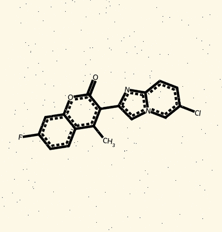 Cc1c(-c2cn3cc(Cl)ccc3n2)c(=O)oc2cc(F)ccc12